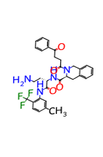 Cc1ccc(C(F)(F)F)c(NC(=O)[C@H](CCN)NC(=O)[C@@H]2Cc3ccccc3CN2C(=O)CCC(=O)c2ccccc2)c1